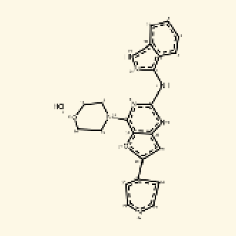 Cl.c1ccc2c(Nc3nc(N4CCOCC4)c4oc(-c5ccncc5)cc4n3)n[nH]c2c1